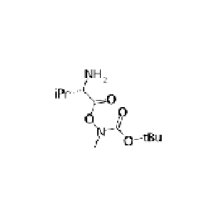 CC(C)[C@H](N)C(=O)ON(C)C(=O)OC(C)(C)C